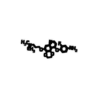 CN(C)CCCOc1cc2nccc(Oc3ccc(N)cc3F)c2c2c1OCCO2